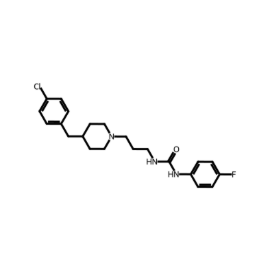 O=C(NCCCN1CCC(Cc2ccc(Cl)cc2)CC1)Nc1ccc(F)cc1